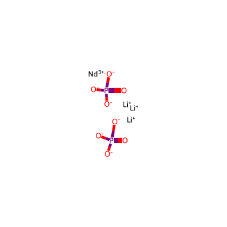 O=P([O-])([O-])[O-].O=P([O-])([O-])[O-].[Li+].[Li+].[Li+].[Nd+3]